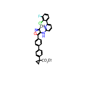 CCOC(=O)C1(c2ccc(-c3ccc(-c4onc(C)c4Nc4cccc(-c5cccc(F)c5Cl)n4)cc3)cc2)CC1